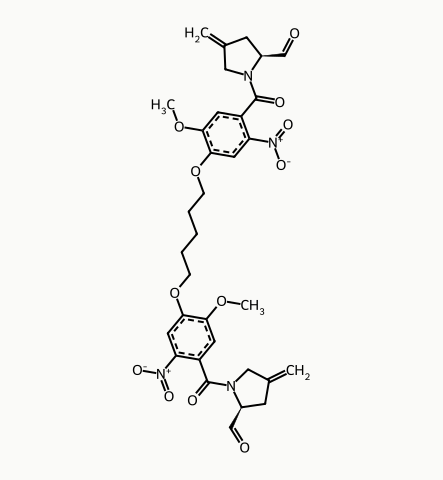 C=C1C[C@@H](C=O)N(C(=O)c2cc(OC)c(OCCCCCOc3cc([N+](=O)[O-])c(C(=O)N4CC(=C)C[C@H]4C=O)cc3OC)cc2[N+](=O)[O-])C1